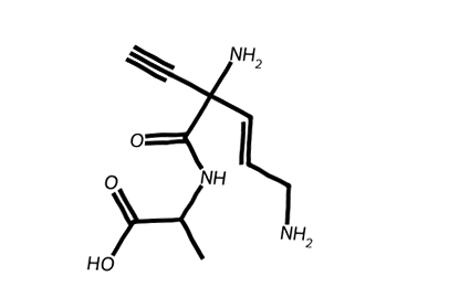 C#CC(N)(C=CCN)C(=O)NC(C)C(=O)O